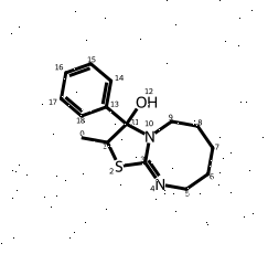 CC1SC2=NCCCCCN2C1(O)c1ccccc1